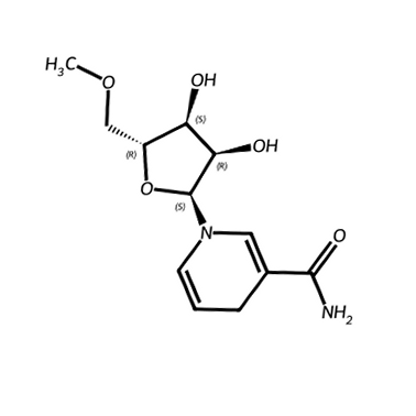 COC[C@H]1O[C@H](N2C=CCC(C(N)=O)=C2)[C@H](O)[C@@H]1O